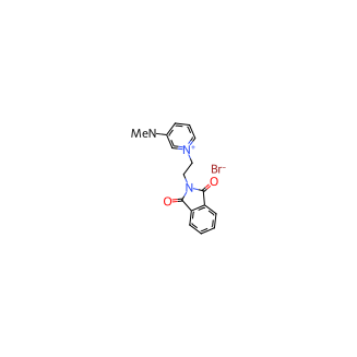 CNc1ccc[n+](CCN2C(=O)c3ccccc3C2=O)c1.[Br-]